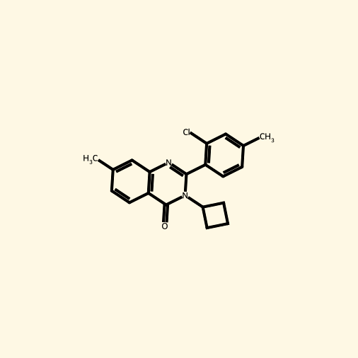 Cc1ccc(-c2nc3cc(C)ccc3c(=O)n2C2CCC2)c(Cl)c1